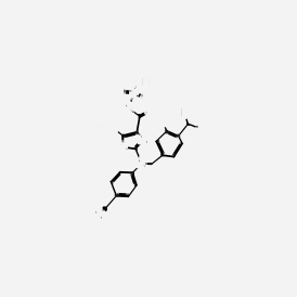 Cc1sc(N(Cc2ccc(C(F)F)c(F)c2)c2ccc(C#N)cc2)nc1C(=O)NS(C)(=O)=O